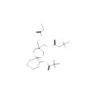 CCC(=O)OCC1(COC(=O)CC(F)(F)F)COC2(CCCCC2OC(=O)C(C)(F)F)OC1